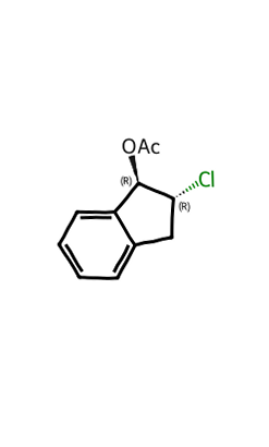 CC(=O)O[C@@H]1c2ccccc2C[C@H]1Cl